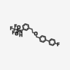 O=S(=O)(Nc1cccc(CCOCc2ccc(-c3ccc(F)cc3)cc2)c1)C(F)(F)F